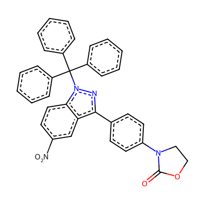 O=C1OCCN1c1ccc(-c2nn(C(c3ccccc3)(c3ccccc3)c3ccccc3)c3ccc([N+](=O)[O-])cc23)cc1